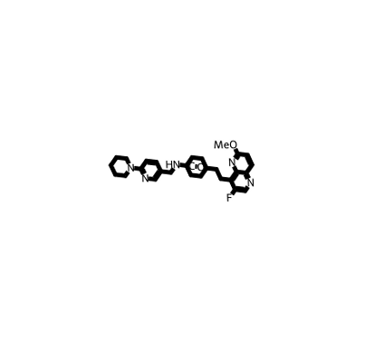 COc1ccc2ncc(F)c(CCC34CCC(NCc5ccc(N6CCCCC6)nc5)(CC3)CO4)c2n1